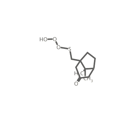 CC1(C)C2CCC1(CSOOO)CC(=O)C2